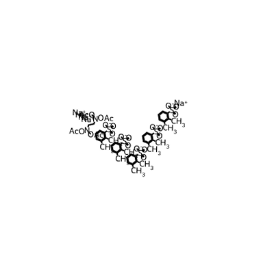 CC(=O)ON(CCN(OC(C)=O)OC(C)=O)OC(C)=O.Cc1cccc(S(=O)(=O)[O-])c1C.Cc1cccc(S(=O)(=O)[O-])c1C.Cc1cccc(S(=O)(=O)[O-])c1C.Cc1cccc(S(=O)(=O)[O-])c1C.Cc1cccc(S(=O)(=O)[O-])c1C.[Na+].[Na+].[Na+].[Na+].[Na+]